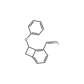 C=Cc1cccc2c1C(Oc1ccccc1)C2